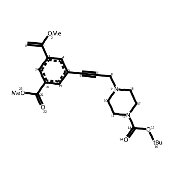 C=C(OC)c1cc(C#CCN2CCN(C(=O)OC(C)(C)C)CC2)cc(C(=O)OC)c1